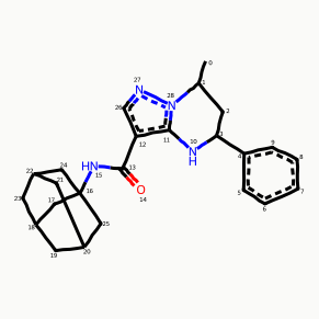 CC1CC(c2ccccc2)Nc2c(C(=O)NC34CC5CC(CC(C5)C3)C4)cnn21